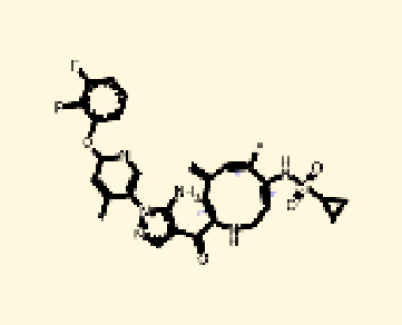 C=C1/C=C(/C(=O)c2cnn(C3=CNC(Oc4cccc(F)c4F)C=C3C)c2N)NC/C=C(NS(=O)(=O)C2CC2)\C(F)=C/1